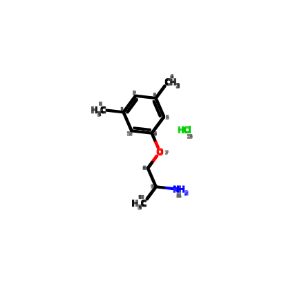 Cc1cc(C)cc(OCC(C)N)c1.Cl